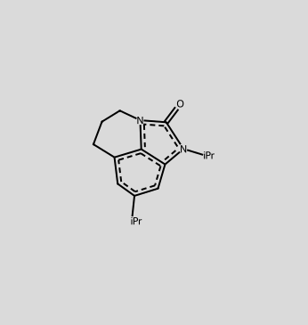 CC(C)c1cc2c3c(c1)n(C(C)C)c(=O)n3CCC2